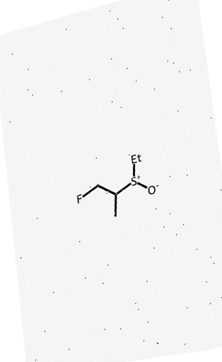 CC[S+]([O-])C(C)CF